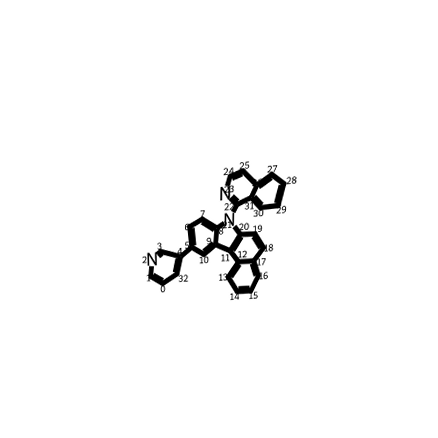 c1cncc(-c2ccc3c(c2)c2c4ccccc4ccc2n3-c2nccc3ccccc23)c1